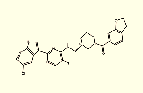 O=C(c1ccc2c(c1)OCC2)N1CCC[C@H](CNc2nc(-c3c[nH]c4ncc(Cl)cc34)ncc2F)C1